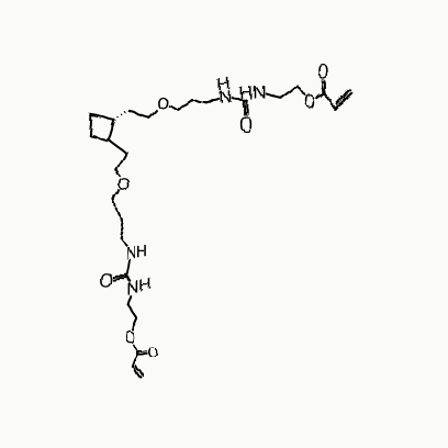 C=CC(=O)OCCNC(=O)NCCCOCCC1CC[C@@H]1CCOCCCNC(=O)NCCOC(=O)C=C